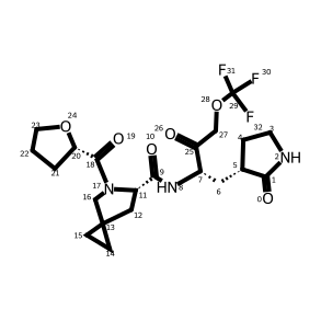 O=C1NCC[C@H]1C[C@H](NC(=O)[C@@H]1CC2(CC2)CN1C(=O)[C@@H]1CCCO1)C(=O)COC(F)(F)F